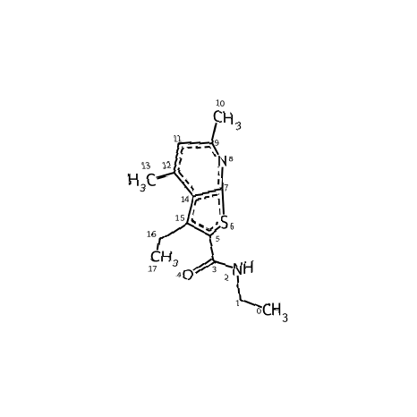 CCNC(=O)c1sc2nc(C)cc(C)c2c1CC